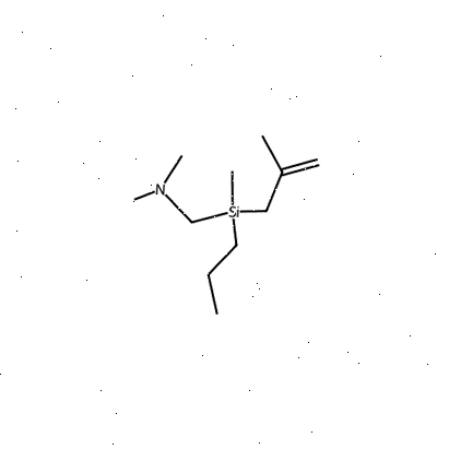 C=C(C)C[Si](C)(CCC)CN(C)C